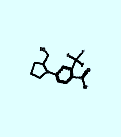 O=[N+]([O-])c1ccc(N2CCCC2CO)cc1C(F)(F)F